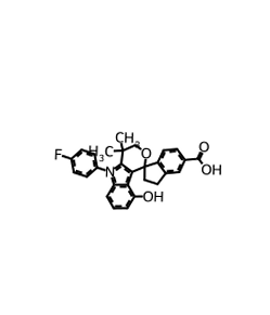 CC1(C)COC2(CCc3cc(C(=O)O)ccc32)c2c1n(-c1ccc(F)cc1)c1cccc(O)c21